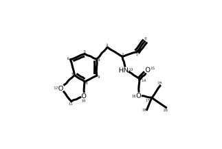 C#CC(Cc1ccc2c(c1)OCO2)NC(=O)OC(C)(C)C